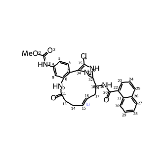 COC(=O)Nc1ccc2c(c1)NC(=O)CC/C=C/C[C@H](NC(=O)c1cccc3ccccc13)c1nc-2c(Cl)[nH]1